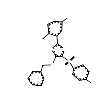 Cc1ccc(F)cc1-c1nc(S(=O)(=O)c2ccc(Br)cc2)c(NCc2ccccc2)o1